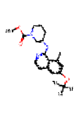 [2H]C([2H])([2H])Oc1cc(C)c2c(N[C@@H]3CCCN(C(=O)OC(C)(C)C)C3)nccc2c1